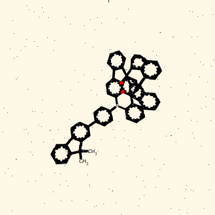 CC1(C)c2ccccc2-c2ccc(-c3ccc(N(c4ccc5c(c4)C4(c6ccccc6-5)c5ccc6ccccc6c5-c5cccc6cccc4c56)c4ccccc4-c4ccccc4)cc3)cc21